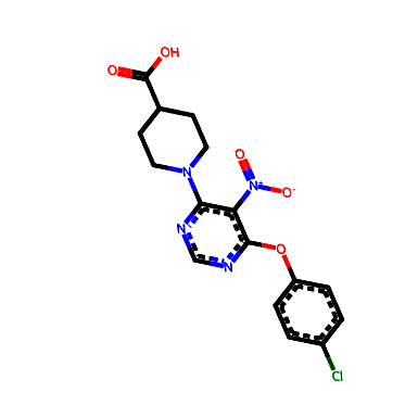 O=C(O)C1CCN(c2ncnc(Oc3ccc(Cl)cc3)c2[N+](=O)[O-])CC1